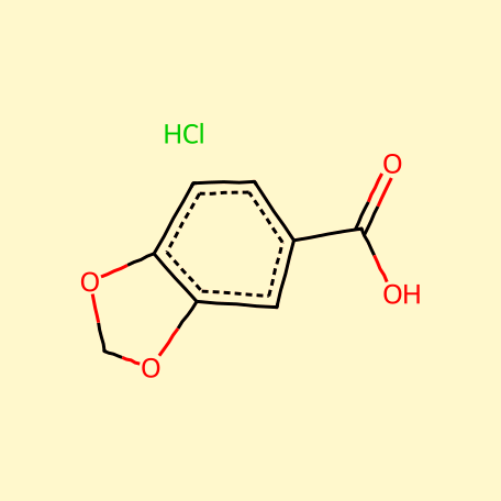 Cl.O=C(O)c1ccc2c(c1)OCO2